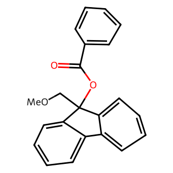 COCC1(OC(=O)c2ccccc2)c2ccccc2-c2ccccc21